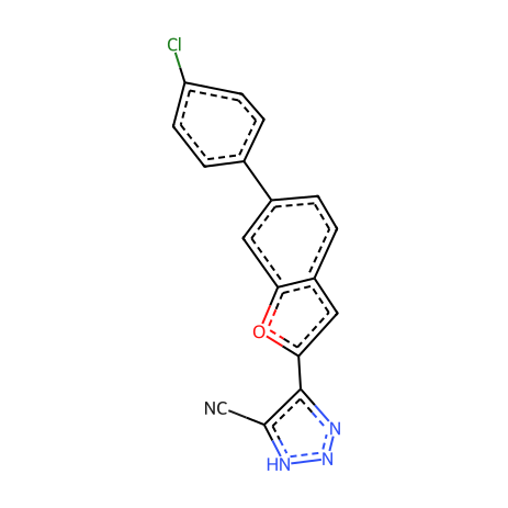 N#Cc1[nH]nnc1-c1cc2ccc(-c3ccc(Cl)cc3)cc2o1